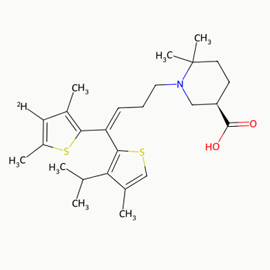 [2H]c1c(C)sc(/C(=C/CCN2C[C@H](C(=O)O)CCC2(C)C)c2scc(C)c2C(C)C)c1C